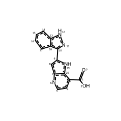 O=C(O)c1ccnc2cc(-c3n[nH]c4ccccc34)[nH]c12